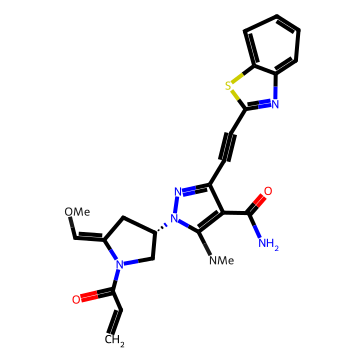 C=CC(=O)N1C[C@@H](n2nc(C#Cc3nc4ccccc4s3)c(C(N)=O)c2NC)C/C1=C\OC